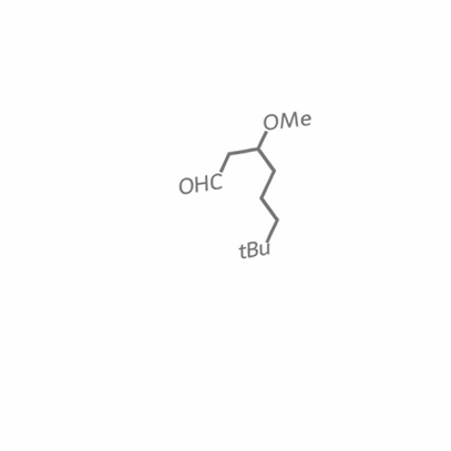 COC(CC=O)CCCC(C)(C)C